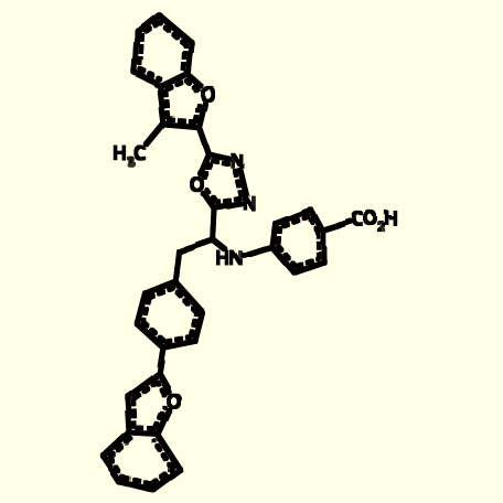 Cc1c(-c2nnc(C(Cc3ccc(-c4cc5ccccc5o4)cc3)Nc3ccc(C(=O)O)cc3)o2)oc2ccccc12